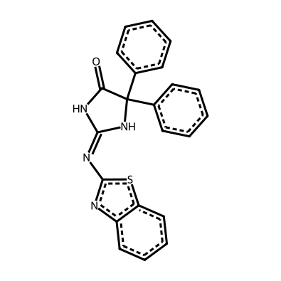 O=C1NC(=Nc2nc3ccccc3s2)NC1(c1ccccc1)c1ccccc1